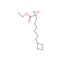 CCOC(=O)C1(CCCCCCC2CCC2)CO1